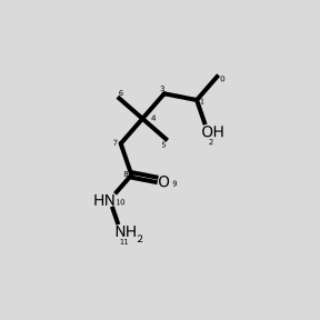 CC(O)CC(C)(C)CC(=O)NN